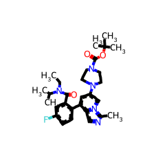 CCN(C(=O)c1cc(F)ccc1-c1cc(N2CCN(C(=O)OC(C)(C)C)CC2)cn2c(C)ncc12)C(C)C